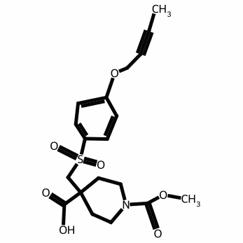 CC#CCOc1ccc(S(=O)(=O)CC2(C(=O)O)CCN(C(=O)OC)CC2)cc1